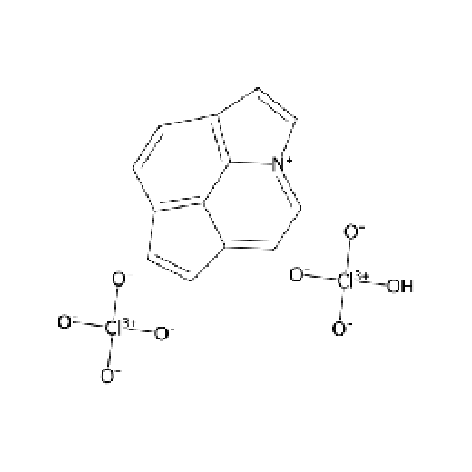 C1=Cc2cc[n+]3c4c(ccc1c24)C=C3.[O-][Cl+3]([O-])([O-])O.[O-][Cl+3]([O-])([O-])[O-]